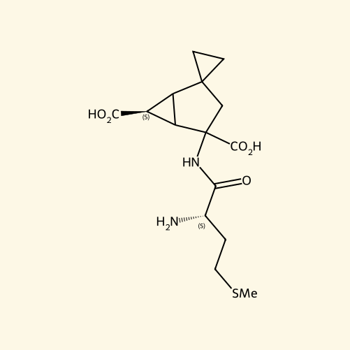 CSCC[C@H](N)C(=O)NC1(C(=O)O)CC2(CC2)C2C1[C@H]2C(=O)O